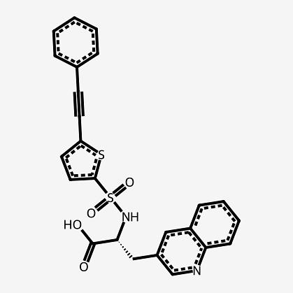 O=C(O)[C@@H](Cc1cnc2ccccc2c1)NS(=O)(=O)c1ccc(C#Cc2ccccc2)s1